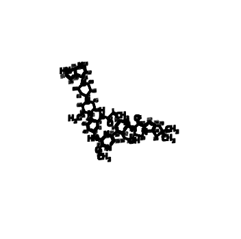 C=CC(=O)Nc1cc(Nc2nc(-c3ccnc(N4CCn5c(cc6c5CC(C)(C)C6)C4=O)c3CO)cnc2OC)ccc1N1CCN(C2CCN(c3ccnc4[nH]ccc34)CC2)C[C@@H]1C